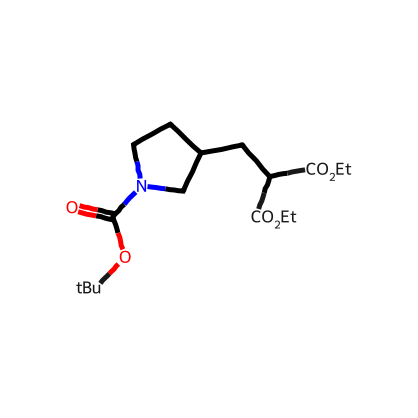 CCOC(=O)C(CC1CCN(C(=O)OC(C)(C)C)C1)C(=O)OCC